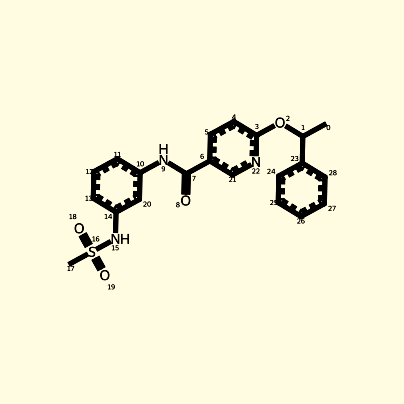 CC(Oc1ccc(C(=O)Nc2cccc(NS(C)(=O)=O)c2)cn1)c1ccccc1